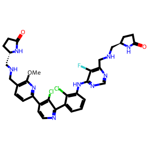 COc1nc(-c2ccnc(-c3cccc(Nc4ncnc(CNC[C@H]5CCC(=O)N5)c4F)c3Cl)c2Cl)ccc1CNC[C@@H]1CCC(=O)N1